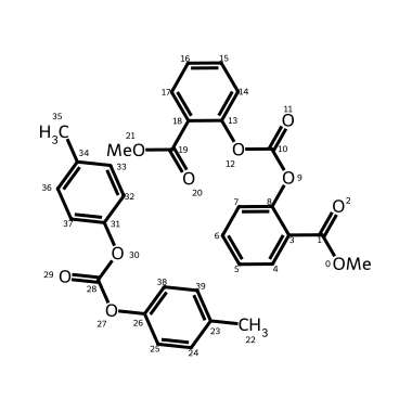 COC(=O)c1ccccc1OC(=O)Oc1ccccc1C(=O)OC.Cc1ccc(OC(=O)Oc2ccc(C)cc2)cc1